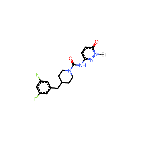 CCn1nc(NC(=O)N2CCC(Cc3cc(F)cc(F)c3)CC2)ccc1=O